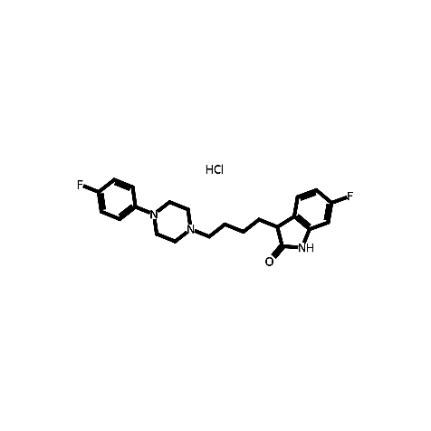 Cl.O=C1Nc2cc(F)ccc2C1CCCCN1CCN(c2ccc(F)cc2)CC1